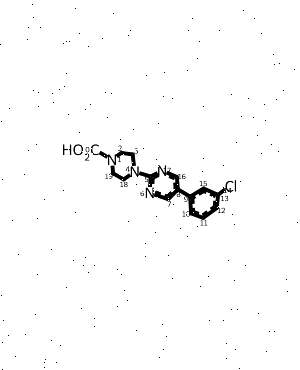 O=C(O)N1CCN(c2ncc(-c3cccc(Cl)c3)cn2)CC1